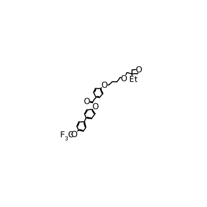 CCC1(COCCCCOc2ccc(C(=O)Oc3ccc(-c4ccc(OC(F)(F)F)cc4)cc3)cc2)COC1